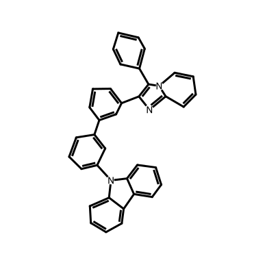 c1ccc(-c2c(-c3cccc(-c4cccc(-n5c6ccccc6c6ccccc65)c4)c3)nc3ccccn23)cc1